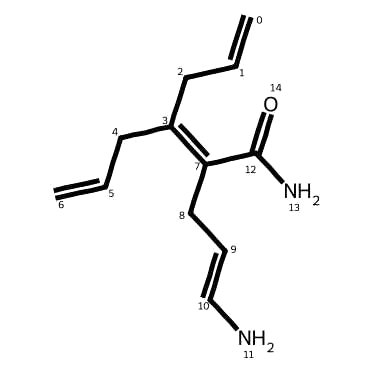 C=CCC(CC=C)=C(CC=CN)C(N)=O